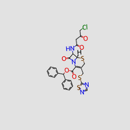 O=C(CCl)CC(=O)NC1C(=O)N2C(C(=O)OC(c3ccccc3)c3ccccc3)=C(CSc3ncns3)CS[C@@H]12